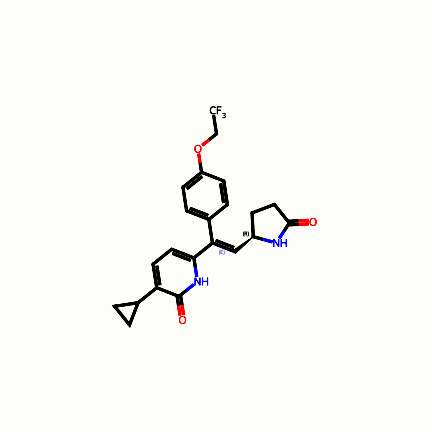 O=C1CC[C@H](/C=C(\c2ccc(OCC(F)(F)F)cc2)c2ccc(C3CC3)c(=O)[nH]2)N1